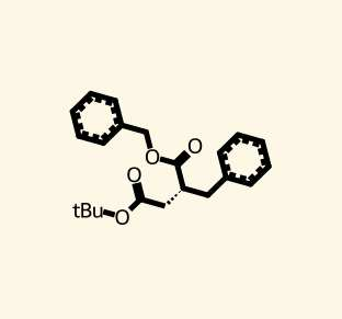 CC(C)(C)OC(=O)C[C@@H](Cc1ccccc1)C(=O)OCc1ccccc1